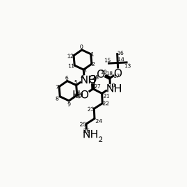 C1CCC(NC2CCCCC2)CC1.CC(C)(C)OC(=O)NC(CCCCN)C(=O)O